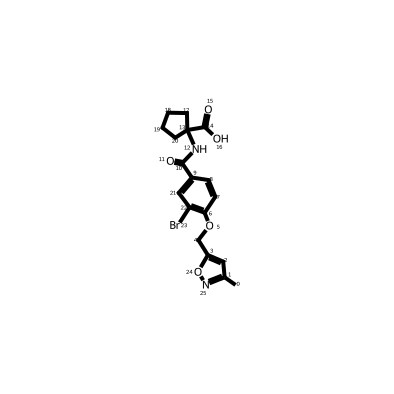 Cc1cc(COc2ccc(C(=O)NC3(C(=O)O)CCCC3)cc2Br)on1